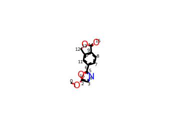 COc1cnc(-c2ccc3c(c2)COC3=O)o1